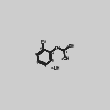 OB(O)Oc1ccccc1F.[LiH]